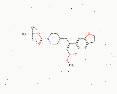 COC(=O)/C=C(/CC1CCN(C(=O)OC(C)(C)C)CC1)c1ccc2c(c1)OCC2